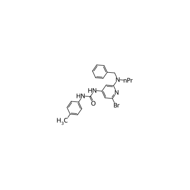 CCCN(Cc1ccccc1)c1cc(NC(=O)Nc2ccc(C)cc2)cc(Br)n1